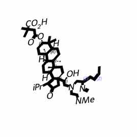 C=N/C(=C\C=C/C)CN(CCNC)C[C@H](O)[C@@]12CC[C@]3(C)[C@H](CC[C@@H]4[C@@]5(C)CC[C@H](OC(=O)CC(C)(C)C(=O)O)C(C)(C)[C@@H]5CC[C@]43C)C1=C(C(C)C)C(=O)C2